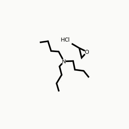 CC1CO1.CCCCN(CCCC)CCCC.Cl